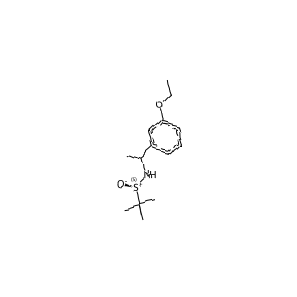 CCOc1cccc(C(C)N[S@+]([O-])C(C)(C)C)c1